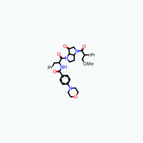 CCCC(COC)C(=O)N1CC(=O)C2C1CCN2C(=O)C(CC(C)C)NC(=O)c1ccc(N2CCOCC2)cc1